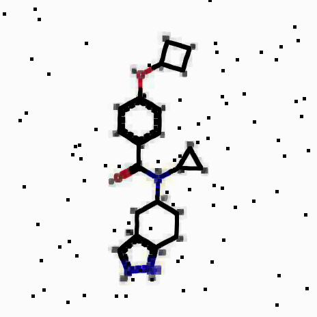 O=C(c1ccc(OC2CCC2)cc1)N(C1CC1)C1CCc2[nH]ncc2C1